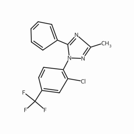 Cc1nc(-c2ccccc2)n(-c2ccc(C(F)(F)F)cc2Cl)n1